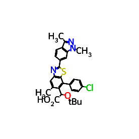 Cc1cc2nc(-c3ccc4c(C)nn(C)c4c3)sc2c(-c2ccc(Cl)cc2)c1C(OC(C)(C)C)C(=O)O